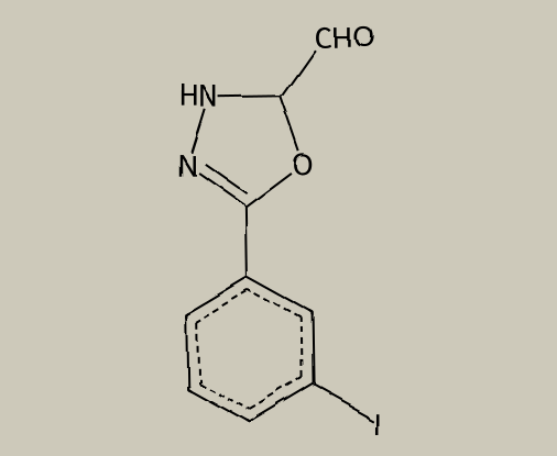 O=CC1NN=C(c2cccc(I)c2)O1